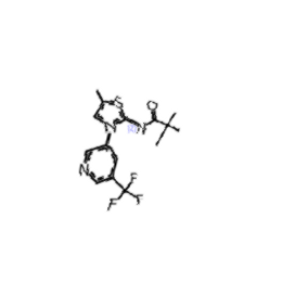 Cc1cn(-c2cncc(C(F)(F)F)c2)/c(=N/C(=O)C(C)(C)C)s1